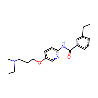 CCc1cccc(C(=O)Nc2ccc(OCCCN(C)CC)cn2)c1